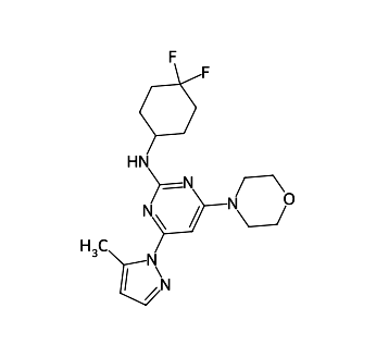 Cc1ccnn1-c1cc(N2CCOCC2)nc(NC2CCC(F)(F)CC2)n1